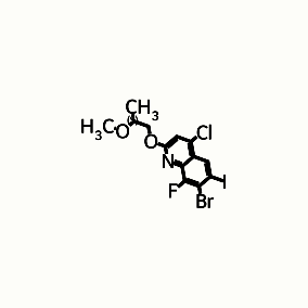 CO[C@@H](C)COc1cc(Cl)c2cc(I)c(Br)c(F)c2n1